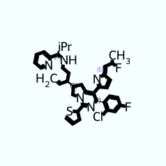 C=CC(CCN[C@@H](c1ccccn1)C(C)C)[C@H]1CC2=C(C3=N/C(=C/C(C)F)C=C3)[C@H](c3ccc(F)cc3Cl)N=C(C3CC=CS3)N2C1